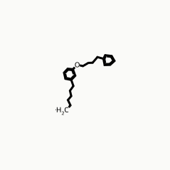 [CH2]CCCCCc1cccc(OCCCCc2ccccc2)c1